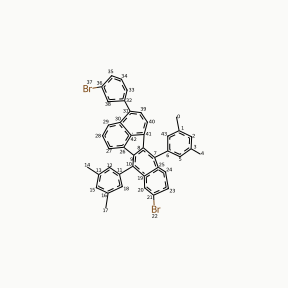 Cc1cc(C)cc(-c2c3c(c(-c4cc(C)cc(C)c4)c4cc(Br)ccc24)-c2cccc4c(-c5cccc(Br)c5)ccc-3c24)c1